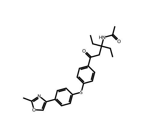 CCC(CC)(CC(=O)c1ccc(Sc2ccc(-c3coc(C)n3)cc2)cc1)NC(C)=O